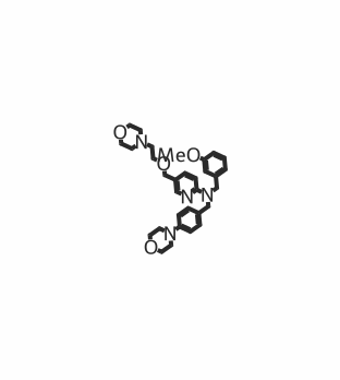 COc1cccc(CN(Cc2ccc(N3CCOCC3)cc2)c2ccc(COCCN3CCOCC3)cn2)c1